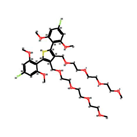 COCCOCCOCCOCc1c(-c2c(OC)cc(F)cc2OC)sc(-c2c(OC)cc(F)cc2OC)c1COCCOCCOCCOC